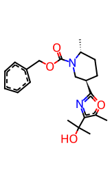 Cc1oc([C@@H]2CC[C@@H](C)N(C(=O)OCc3ccccc3)C2)nc1C(C)(C)O